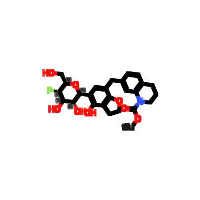 CC(C)(C)OC(=O)N1CCCc2ccc(Cc3cc([C@@H]4O[C@H](CO)[C@@H](F)[C@H](O)[C@H]4O)c(O)c4c3OCC4)cc21